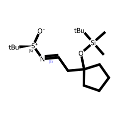 CC(C)(C)[S@@+]([O-])/N=C/CC1(O[Si](C)(C)C(C)(C)C)CCCC1